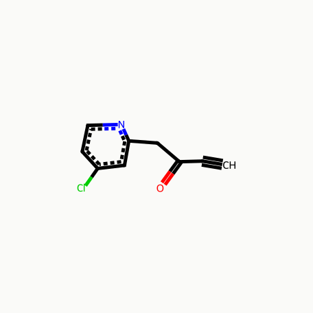 C#CC(=O)Cc1cc(Cl)ccn1